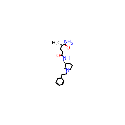 CC(C[CH]C(=O)NC[C@@H]1CCCN(CCc2ccccc2)C1)C(N)=O